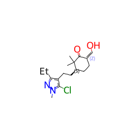 CCc1nn(C)c(Cl)c1CC[C@@H]1CC/C(=C/O)C(=O)C1(C)C